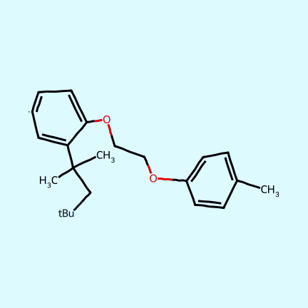 Cc1ccc(OCCOc2cc[c]cc2C(C)(C)CC(C)(C)C)cc1